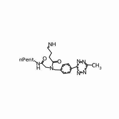 CCCCCNC(=O)CN(Cc1ccc(-c2nnc(C)nn2)cc1)C(=O)CCC=N